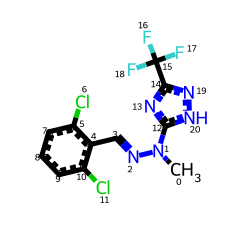 CN(N=Cc1c(Cl)cccc1Cl)c1nc(C(F)(F)F)n[nH]1